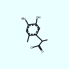 Cc1cc(C(C)(C)C)c(O)cc1C(C)C(=O)Cl